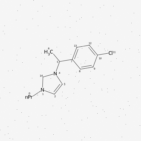 [CH2]CCN1C=CN(C(C)c2ccc(Cl)cc2)C1